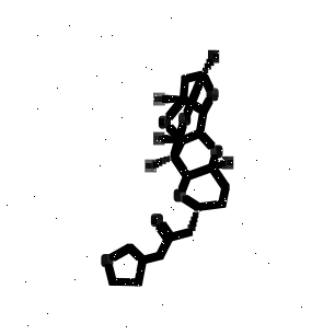 O=C(CC1CCOC1)C[C@H]1CC[C@@H]2OC3C4O[C@@H]5C[C@H]4O[C@H]3[C@@H](O5)C2O1